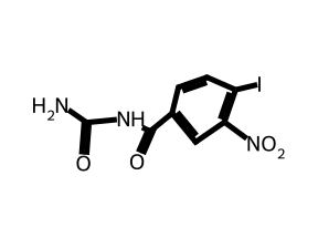 NC(=O)NC(=O)c1ccc(I)c([N+](=O)[O-])c1